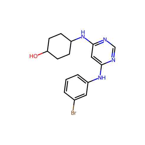 OC1CCC(Nc2cc(Nc3cccc(Br)c3)ncn2)CC1